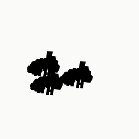 CC1(C)COc2c(S(N)(=O)=NC(=O)Nc3c4c(cc5c3CC(F)C5)CCC4)cnn2C1.CC1(C)COc2c(S(N)(=O)=NC(=O)Nc3c4c(cc5c3C[C@@H](F)C5)CCC4)cnn2C1.CC1(C)COc2c(S(N)(=O)=NC(=O)Nc3c4c(cc5c3C[C@H](F)C5)CCC4)cnn2C1